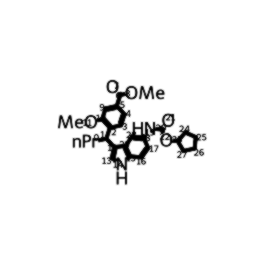 CCCC(c1ccc(C(=O)OC)cc1OC)c1c[nH]c2ccc(NC(=O)OC3CCCC3)cc12